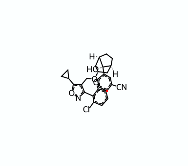 N#Cc1cccc([C@@]2(O)[C@@H]3CC[C@H]2C[C@@H](OCc2c(-c4c(Cl)cccc4Cl)noc2C2CC2)C3)c1